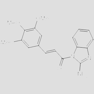 COc1cc(C=CC(=O)n2c(N)nc3ccccc32)cc(OC)c1OC